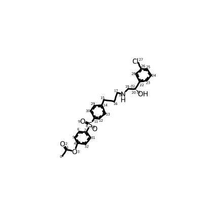 CC(=O)Oc1ccc(S(=O)(=O)c2ccc(CCCNC[C@@H](O)c3cccc(Cl)c3)cc2)cc1